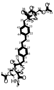 CNC(=O)[C@]1(COC(C)=O)SS[C@@](C)(Cc2ccc(CCc3ccc(C[C@@]45SS[C@@](COC(C)=O)(C(=O)N4C)N(C)C5=O)cc3)cc2)C(=O)N1C